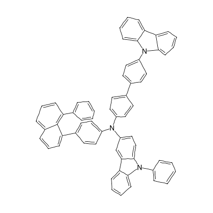 c1ccc(-c2cccc3cccc(-c4ccc(N(c5ccc(-c6ccc(-n7c8ccccc8c8ccccc87)cc6)cc5)c5ccc6c(c5)c5ccccc5n6-c5ccccc5)cc4)c23)cc1